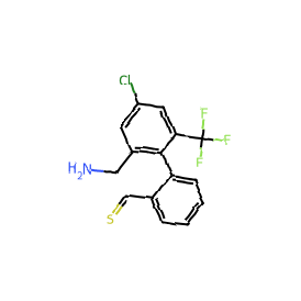 NCc1cc(Cl)cc(C(F)(F)F)c1-c1ccccc1C=S